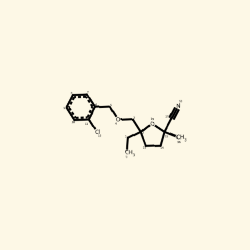 CCC1(COCc2ccccc2Cl)CCC(C)(C#N)O1